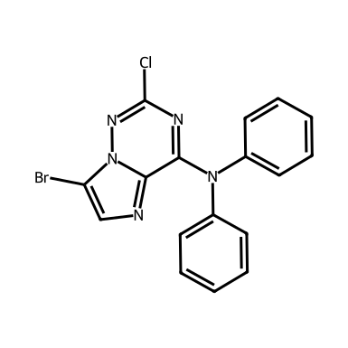 Clc1nc(N(c2ccccc2)c2ccccc2)c2ncc(Br)n2n1